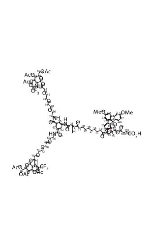 COc1ccc(C(OCC2(C)CN(C(=O)CCCCCCCCC(=O)NCC(=O)Nc3cc(C(=O)NCCOCCOCCOCCOC4O[C@H](COC(C)=O)[C@H](OC(C)=O)[C@H](OC(C)=O)[C@H]4NC(=O)C(F)(F)F)cc(C(=O)NCCOCCOCCOCCOC4O[C@H](COC(C)=O)[C@H](OC(C)=O)[C@H](OC(C)=O)[C@H]4NC(=O)C(F)(F)F)c3)CC2(C)COC(=O)CCC(=O)O)(c2ccccc2)c2ccc(OC)cc2)cc1